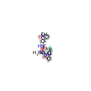 CN(C(=O)c1ccc(CNC(=O)Oc2cc(NC(=O)c3ccccc3-c3ccc(C(F)(F)F)cc3)cn2C)cc1)C1CCCCC1